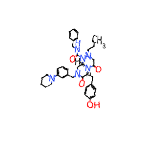 CCCN1CC(=O)N2[C@@H](Cc3ccc(O)cc3)C(=O)N(Cc3cccc(N4CCCCC4)c3)C[C@@H]2N1C(=O)NCc1ccccc1